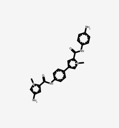 Cn1cc(N)cc1C(=O)Nc1ccc(-c2cc(C(=O)Nc3ccc(N)cc3)n(C)c2)cc1